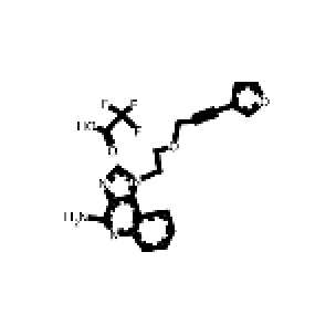 Nc1nc2ccccc2c2c1ncn2CCOCC#Cc1ccoc1.O=C(O)C(F)(F)F